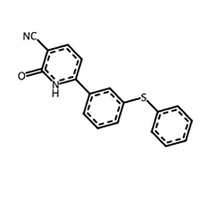 N#Cc1ccc(-c2cccc(Sc3ccccc3)c2)[nH]c1=O